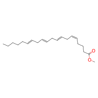 CCCCCC=CCC=CCC=CC/C=C\CCCC(=O)OC